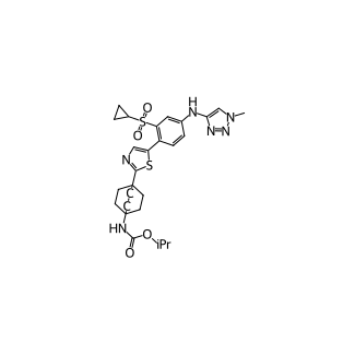 CC(C)OC(=O)NC12CCC(c3ncc(-c4ccc(Nc5cn(C)nn5)cc4S(=O)(=O)C4CC4)s3)(CC1)CC2